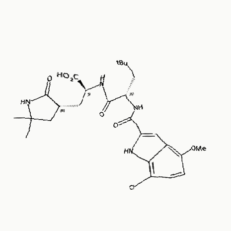 COc1ccc(Cl)c2[nH]c(C(=O)N[C@@H](CC(C)(C)C)C(=O)N[C@@H](C[C@@H]3CC(C)(C)NC3=O)C(=O)O)cc12